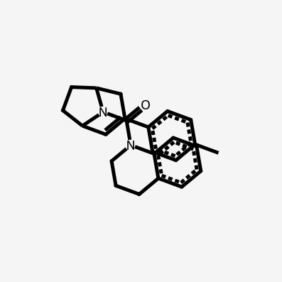 Cc1ccc(C2=CC3CCC(C2)N3C(=O)N2CCCc3ccccc32)cc1